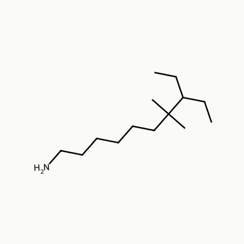 CCC(CC)C(C)(C)CCCCCCN